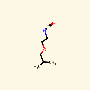 CC(C)COCCN=C=O